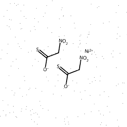 O=[N+]([O-])CC([O-])=S.O=[N+]([O-])CC([O-])=S.[Ni+2]